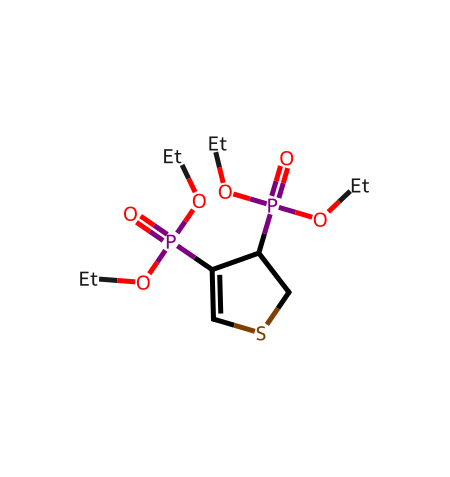 CCOP(=O)(OCC)C1=CSCC1P(=O)(OCC)OCC